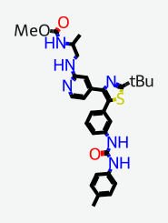 COC(=O)NC(C)CNc1cc(-c2nc(C(C)(C)C)sc2-c2cccc(NC(=O)Nc3ccc(C)cc3)c2)ccn1